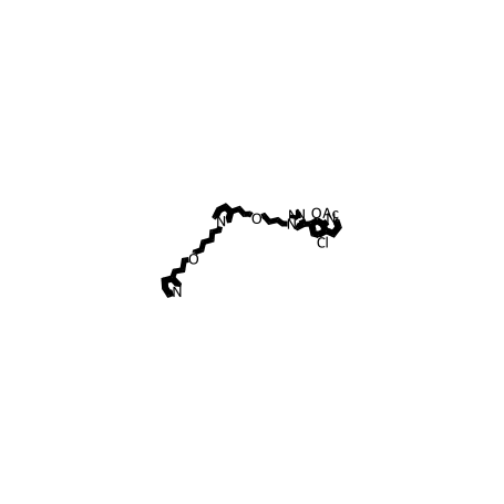 CC(=O)Oc1c(-c2cn(CCCCOCCCc3ccc[n+](CCCCCCOCCCc4cccnc4)c3)nn2)cc(Cl)c2cccnc12